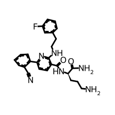 N#Cc1ccccc1-c1ccc(C(=O)N[C@H](CCCN)C(N)=O)c(NCCc2cccc(F)c2)n1